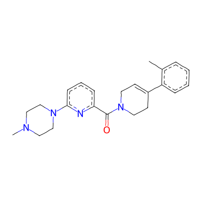 Cc1ccccc1C1=CCN(C(=O)c2cccc(N3CCN(C)CC3)n2)CC1